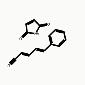 N#CC=CC=Cc1ccccc1.O=C1C=CC(=O)N1